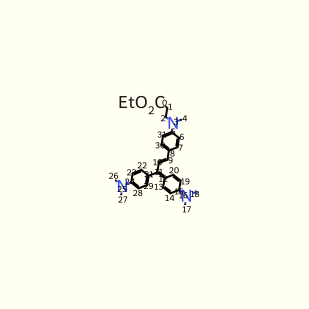 CCOC(=O)CCN(C)c1ccc(/C=C/C(=C2C=CC(=[N+](C)C)C=C2)c2ccc(N(C)C)cc2)cc1